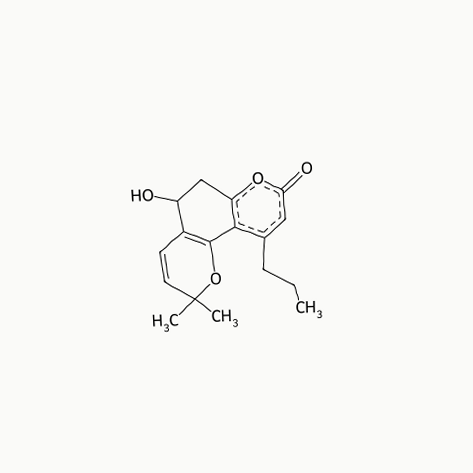 CCCc1cc(=O)oc2c1C1=C(C=CC(C)(C)O1)C(O)C2